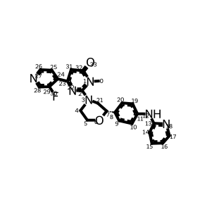 Cn1c(N2CCO[C@@H](c3ccc(Nc4ccccn4)cc3)C2)nc(-c2ccncc2F)cc1=O